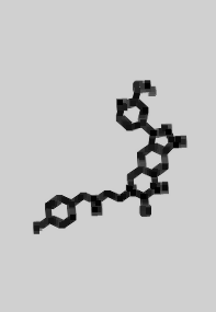 Cc1cc(-c2n[nH]c3cc4c(cc23)CN(CCNCc2ccc(F)cc2)C(=O)N4)ccn1